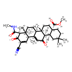 CNC(=O)[C@]1(C)C(=O)C(C#N)=C[C@]2(C)C3=CC(=O)[C@@H]4[C@@H]5CC(C)(C)CC[C@]5(C(=O)OC)CC[C@@]4(C)[C@]3(C)CC[C@@H]12